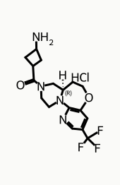 Cl.NC1CC(C(=O)N2CCN3c4ncc(C(F)(F)F)cc4OCC[C@@H]3C2)C1